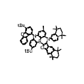 Cc1cc2c3c(c1)N(c1ccc(C(C)(C)C)c4oc5ccccc5c14)c1ccc(C(C)(C)C)cc1B3c1oc3cc4c(cc3c1N2c1ccc2c(c1)C(C)(C)CCC2(C)C)C(C)(C)CCC4(C)C